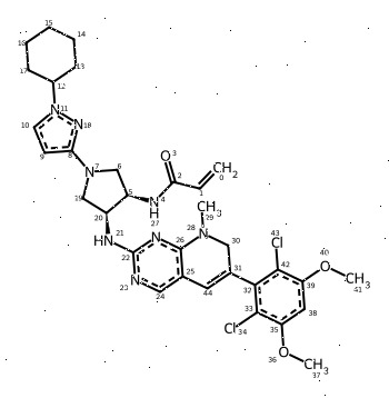 C=CC(=O)N[C@@H]1CN(c2ccn(C3CCCCC3)n2)C[C@@H]1Nc1ncc2c(n1)N(C)CC(c1c(Cl)c(OC)cc(OC)c1Cl)=C2